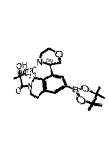 CC1(C)OB(c2cc3c(c([C@@H]4COCCN4C(=O)O)c2)CN(C(=O)C(C)(O)C(F)(F)F)CC3)OC1(C)C